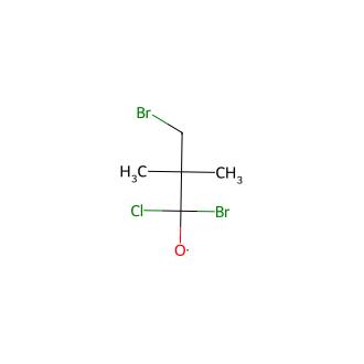 CC(C)(CBr)C([O])(Cl)Br